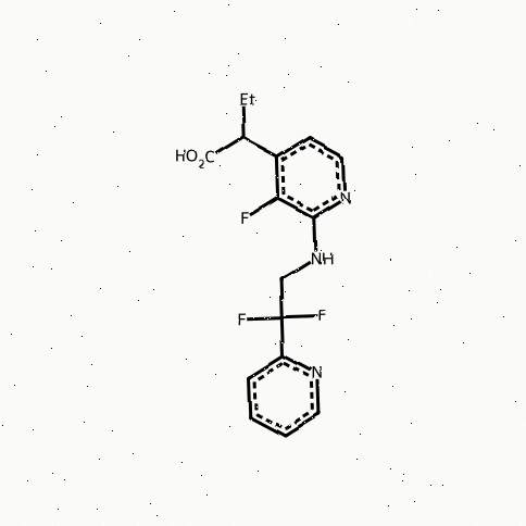 CCC(C(=O)O)c1ccnc(NCC(F)(F)c2ccccn2)c1F